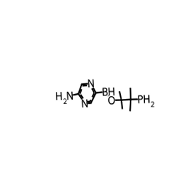 CC(C)(P)C(C)(C)OBc1cnc(N)cn1